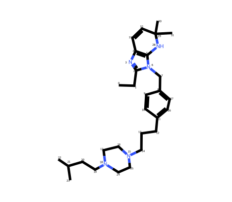 CCc1nc2c(n1Cc1ccc(CCCN3CCN(CCC(C)C)CC3)cc1)NC(C)(C)C=C2